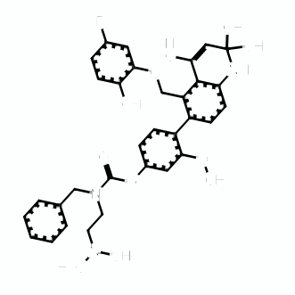 COc1cc(OC(=O)N(CCN(C)C)Cc2ccccc2)ccc1-c1ccc2c(c1COc1cc(F)ccc1C)C(C)=CC(C)(C)N2